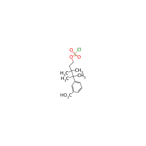 CC(C)(CCOS(=O)(=O)Cl)C(C)(C)c1cccc(C(=O)O)c1